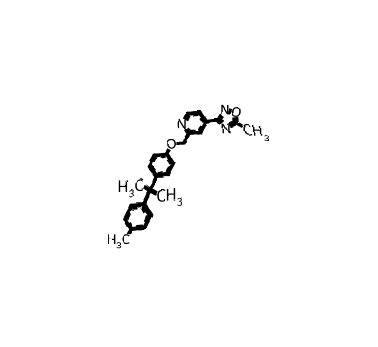 Cc1ccc(C(C)(C)c2ccc(OCc3cc(-c4noc(C)n4)ccn3)cc2)cc1